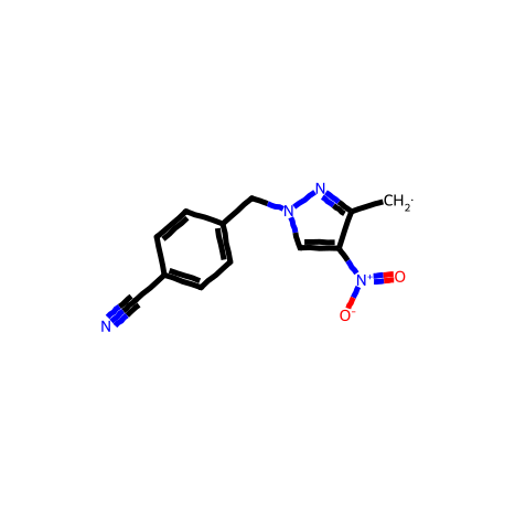 [CH2]c1nn(Cc2ccc(C#N)cc2)cc1[N+](=O)[O-]